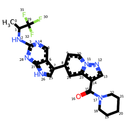 CC(Nc1ncc2c(-c3ccn4ncc(C(=O)N5CCCCC5)c4c3)c[nH]c2n1)C(F)(F)F